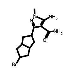 Cn1nc(C2CC3CC(Br)CC3C2)c(C(N)=O)c1N